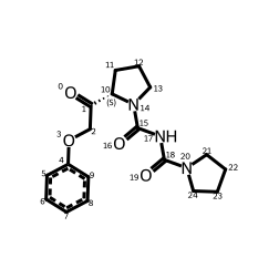 O=C(COc1ccccc1)[C@@H]1CCCN1C(=O)NC(=O)N1CCCC1